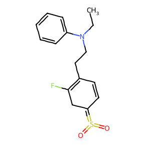 CCN(CCC1=C(F)CC(=S(=O)=O)C=C1)c1ccccc1